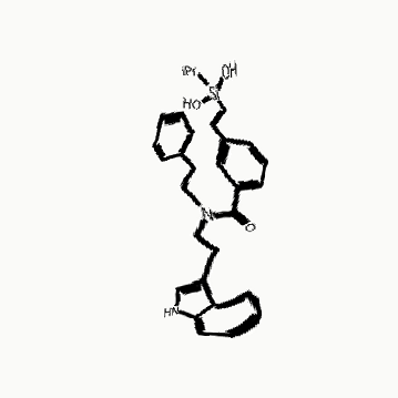 CC(C)[Si](O)(O)C=Cc1cccc(C(=O)N(CCc2ccccc2)CCc2c[nH]c3ccccc23)c1